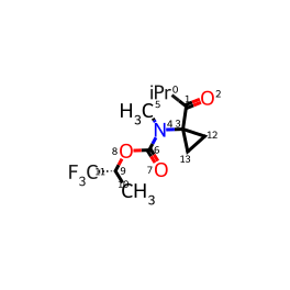 CC(C)C(=O)C1(N(C)C(=O)O[C@H](C)C(F)(F)F)CC1